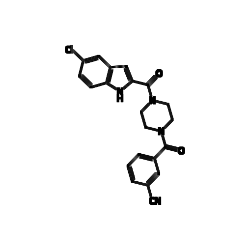 N#Cc1cccc(C(=O)N2CCN(C(=O)c3cc4cc(Cl)ccc4[nH]3)CC2)c1